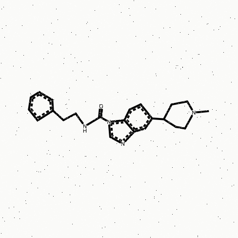 CN1CCC(c2ccc3c(c2)ncn3C(=O)NCCc2ccccc2)CC1